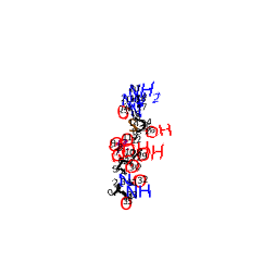 Cc1cn([C@H]2CC(OP(=O)(O)OC[C@H]3S[C@@H](n4cnc(N)nc4=O)CC3O)[C@@H](CO)O2)c(=O)[nH]c1=O